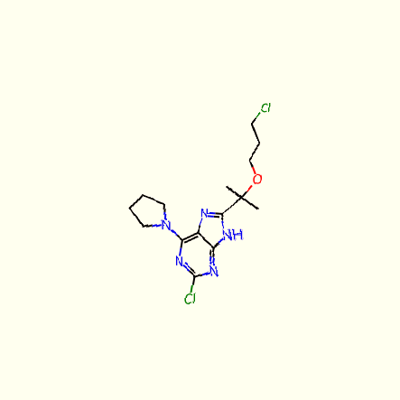 CC(C)(OCCCCl)c1nc2c(N3CCCC3)nc(Cl)nc2[nH]1